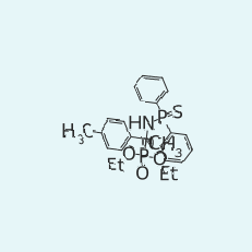 CCOP(=O)(OCC)[C@@](C)(NP(=S)(c1ccccc1)c1ccccc1)c1ccc(C)cc1